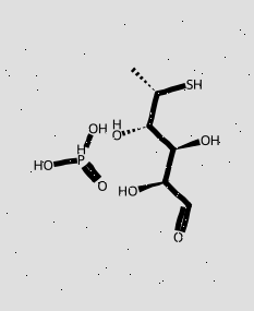 C[C@H](S)[C@@H](O)[C@@H](O)[C@H](O)C=O.O=[PH](O)O